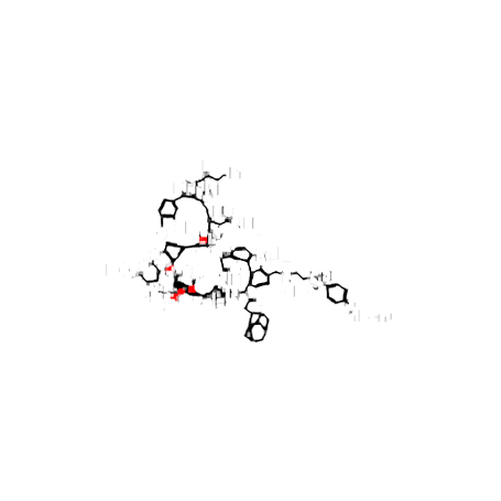 CCCCCOc1ccc(S(=O)(=O)NCCNCc2c(O)cc3c(c2O)-c2cc(ccc2O)[C@H]2CC(=O)[C@@H]4NC(=O)[C@H](CC(N)=O)CC(=O)[C@H](NC(=O)[C@H](CC)CC(C)C)[C@H](O)c5ccc(c(Cl)c5)Oc5cc4cc(c5O[C@@H]4O[C@H](CO)[C@@H](O)[C@H](O)[C@H]4O[C@H]4C[C@](C)(N)[C@H](O)[C@H](C)O4)Oc4ccc(cc4Cl)[C@@H](O)[C@H](NC2=O)C(=O)N[C@@H]3C(=O)CC2C3CC4CC(C3)CC2C4)cc1